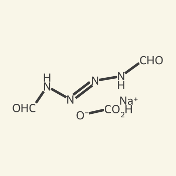 O=C([O-])O.O=CNN=NNC=O.[Na+]